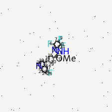 CO[C@@H](c1nc2c(F)cc(F)c(F)c2[nH]1)C1CCC(c2ccnc3ccc(F)cc23)CC1